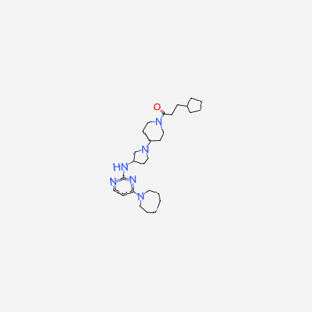 O=C(CCC1CCCC1)N1CCC(N2CCC(Nc3nccc(N4CCCCCC4)n3)C2)CC1